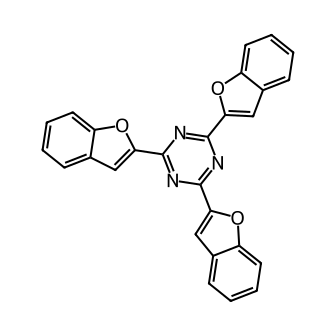 c1ccc2oc(-c3nc(-c4cc5ccccc5o4)nc(-c4cc5ccccc5o4)n3)cc2c1